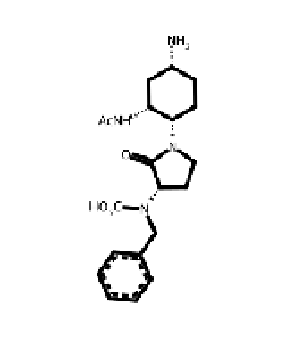 CC(=O)N[C@@H]1C[C@H](N)CC[C@@H]1N1CC[C@H](N(Cc2ccccc2)C(=O)O)C1=O